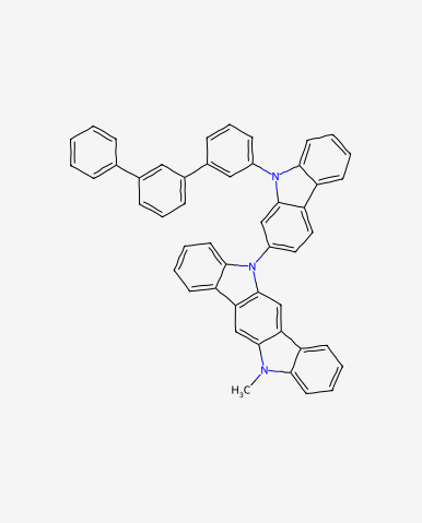 Cn1c2ccccc2c2cc3c(cc21)c1ccccc1n3-c1ccc2c3ccccc3n(-c3cccc(-c4cccc(-c5ccccc5)c4)c3)c2c1